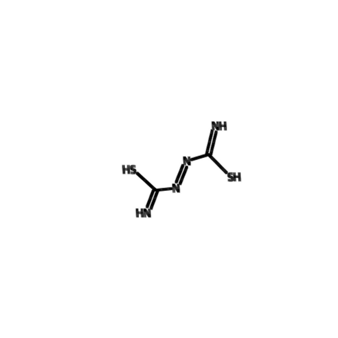 N=C(S)N=NC(=N)S